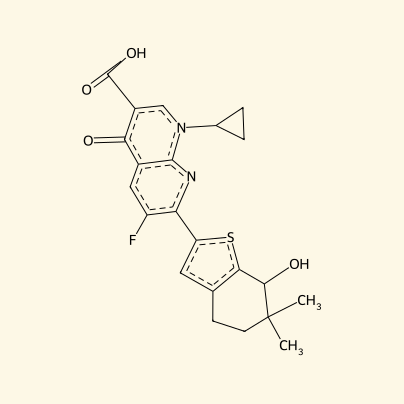 CC1(C)CCc2cc(-c3nc4c(cc3F)c(=O)c(C(=O)O)cn4C3CC3)sc2C1O